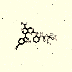 CC(C)(C)OC(=O)NC1CCCCC1Nc1ncc2c(C(F)F)ncc(-c3c[nH]c4cc(C#N)ccc34)c2n1